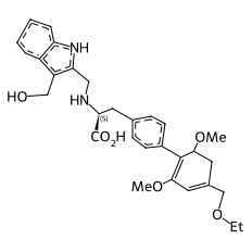 CCOCC1=CC(OC)=C(c2ccc(C[C@H](NCc3[nH]c4ccccc4c3CO)C(=O)O)cc2)C(OC)C1